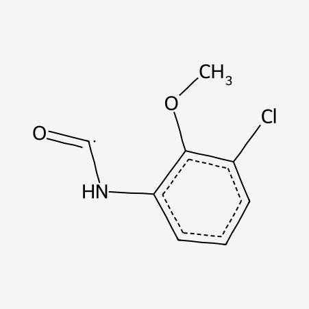 COc1c(Cl)cccc1N[C]=O